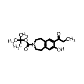 CCC(=O)c1cc2c(cc1O)CCN(C(=O)OC(C)(C)C)CC2